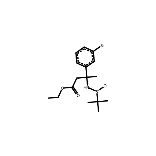 CCOC(=O)CC(C)(N[S+]([O-])C(C)(C)C)c1cccc(Br)c1